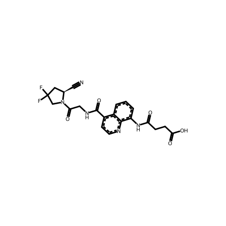 N#C[C@@H]1CC(F)(F)CN1C(=O)CNC(=O)c1ccnc2c(NC(=O)CCC(=O)O)cccc12